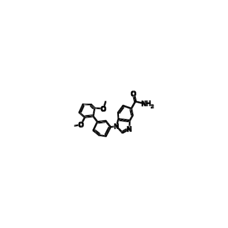 COc1cccc(OC)c1-c1cccc(-n2cnc3cc(C(N)=O)ccc32)c1